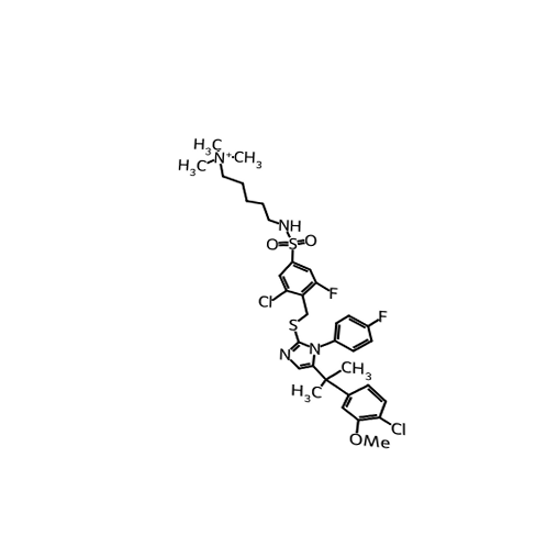 COc1cc(C(C)(C)c2cnc(SCc3c(F)cc(S(=O)(=O)NCCCCC[N+](C)(C)C)cc3Cl)n2-c2ccc(F)cc2)ccc1Cl